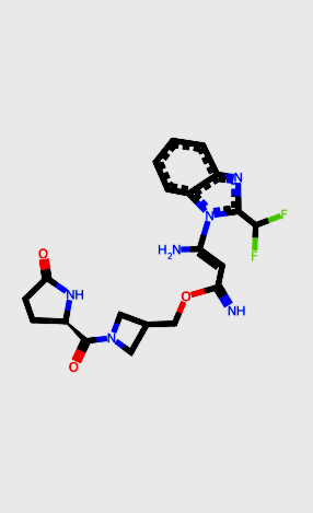 N=C(/C=C(\N)n1c(C(F)F)nc2ccccc21)OCC1CN(C(=O)[C@H]2CCC(=O)N2)C1